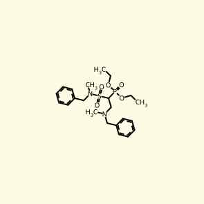 CCOP(=O)(OCC)C(CN(C)Cc1ccccc1)S(=O)(=O)N(C)Cc1ccccc1